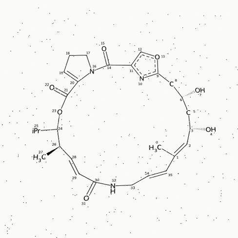 CC1=C\[C@@H](O)C[C@@H](O)Cc2nc(co2)C(=O)N2CCC=C2C(=O)OC(C(C)C)[C@H](C)/C=C/C(=O)NC\C=C\1